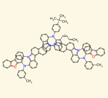 C=C/C=C\c1c(N(c2ccc(C(C)(C)C)cc2)c2cccc3c4c5ccc6c(c5ccc4n(-c4ccccc4)c23)c2cccc(N(c3cccc(C)c3)c3cccc4c3oc3ccccc34)c2n6-c2ccccc2)n(-c2ccccc2)c2ccc3c(ccc4c3c3cccc(N(c5cccc(C)c5)c5cccc6c5oc5ccccc56)c3n4-c3ccccc3)c12